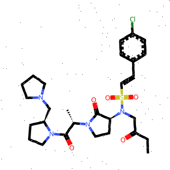 CCC(=O)CN([C@H]1CCN([C@@H](C)C(=O)N2CCC[C@H]2CN2CCCC2)C1=O)S(=O)(=O)/C=C/c1ccc(Cl)cc1